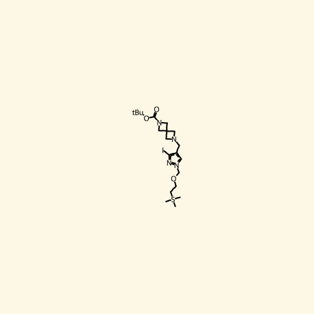 CC(C)(C)OC(=O)N1CC2(CN(Cc3cn(COCCS(C)(C)C)nc3I)C2)C1